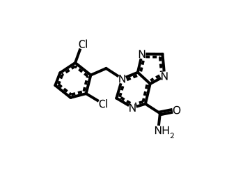 NC(=O)c1ncn(Cc2c(Cl)cccc2Cl)c2ncnc1-2